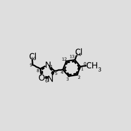 Cc1ccc(-c2noc(CCl)n2)cc1Cl